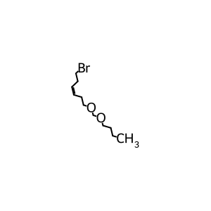 CCCCOCOCC/C=C\CCBr